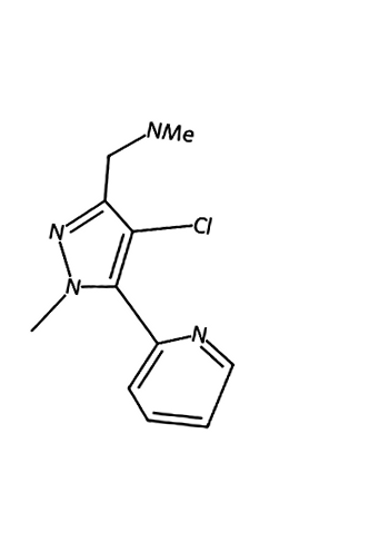 CNCc1nn(C)c(-c2ccccn2)c1Cl